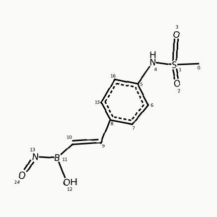 CS(=O)(=O)Nc1ccc(/C=C/B(O)N=O)cc1